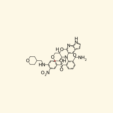 NC(=O)c1cccc(S(=O)(=O)c2ccc(NCC3CCOCC3)c([N+](=O)[O-])c2)c1N1c2cc3cc[nH]c3nc2O[C@H]2COCC[C@@H]21